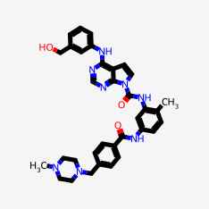 Cc1ccc(NC(=O)c2ccc(CN3CCN(C)CC3)cc2)cc1NC(=O)n1ccc2c(Nc3cccc(CO)c3)ncnc21